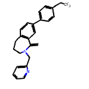 C=C1c2cc(-c3ccc(CC(F)(F)F)cc3)ccc2CCCN1Cc1ccccn1